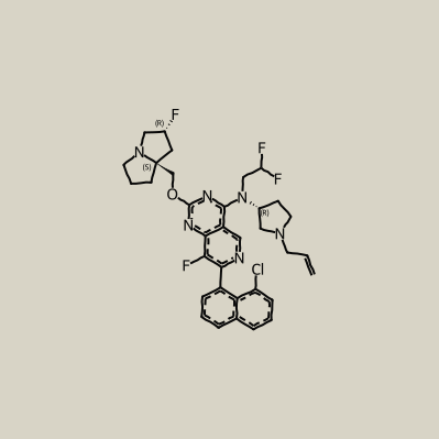 C=CCN1CC[C@@H](N(CC(F)F)c2nc(OC[C@@]34CCCN3C[C@H](F)C4)nc3c(F)c(-c4cccc5cccc(Cl)c45)ncc23)C1